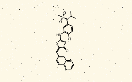 CC(C)N(c1ccc(Cl)c(NC2=NC(=O)C(=Cc3ccc4nccnc4c3)S2)c1)S(C)(=O)=O